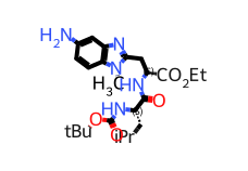 CCOC(=O)[C@H](Cc1nc2cc(N)ccc2n1C)NC(=O)[C@H](CC(C)C)NC(=O)OC(C)(C)C